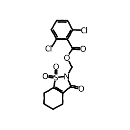 O=C(OCN1C(=O)C2=C(CCCC2)S1(=O)=O)c1c(Cl)cccc1Cl